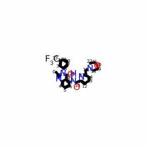 Cc1nc2cccc(NC(=O)c3cccc(CN4CCOCC4)n3)c2c(=O)n1-c1cccc(C(F)(F)F)c1